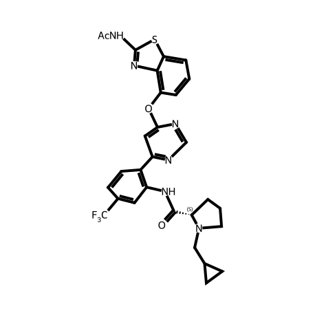 CC(=O)Nc1nc2c(Oc3cc(-c4ccc(C(F)(F)F)cc4NC(=O)[C@@H]4CCCN4CC4CC4)ncn3)cccc2s1